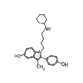 Cc1c(-c2ccc(O)cc2)n(CCCCNC2CCCCC2)c2ccc(O)cc12